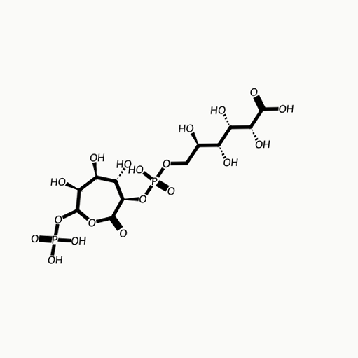 O=C(O)[C@H](O)[C@@H](O)[C@H](O)[C@H](O)COP(=O)(O)O[C@H]1C(=O)OC(OP(=O)(O)O)[C@@H](O)[C@@H](O)[C@@H]1O